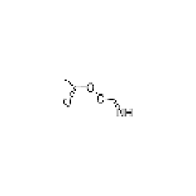 CC(=O)OOC=N